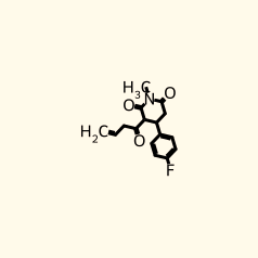 C=CCC(=O)C1C(=O)N(C)C(=O)CC1c1ccc(F)cc1